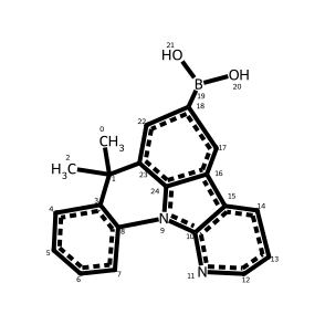 CC1(C)c2ccccc2-n2c3ncccc3c3cc(B(O)O)cc1c32